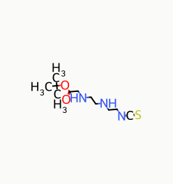 CC(C)(C)OC(=O)CNCCNCCN=C=S